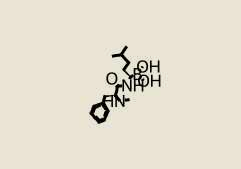 CN[C@@H](Cc1ccccc1)C(=O)N[C@@H](CCC(C)C)B(O)O